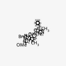 COC(=O)Cn1c2c(c(=O)n3nc(Br)nc13)C1(CCN(C(=O)c3ncnc(C)c3OCc3ccccc3)CC1)CC2C